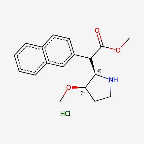 COC(=O)C(c1ccc2ccccc2c1)[C@H]1NCC[C@H]1OC.Cl